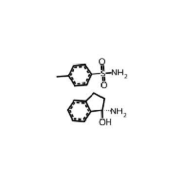 Cc1ccc(S(N)(=O)=O)cc1.N[C@@]1(O)CCc2ccccc21